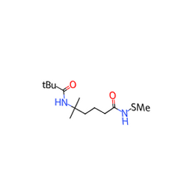 CSNC(=O)CCCC(C)(C)NC(=O)C(C)(C)C